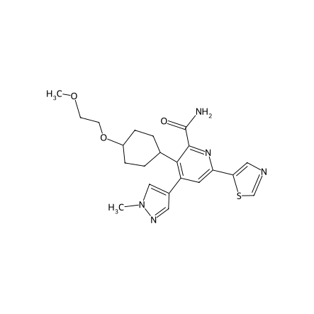 COCCOC1CCC(c2c(-c3cnn(C)c3)cc(-c3cncs3)nc2C(N)=O)CC1